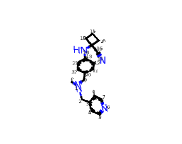 CN(Cc1ccncc1)Cc1ccc(NC2(C#N)CCC2)cc1